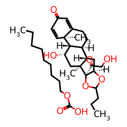 CCCC1O[C@@H]2C[C@H]3[C@@H]4CCC5=CC(=O)C=C[C@]5(C)[C@H]4[C@@H](O)C[C@]3(C)[C@]2(C(=O)CO)O1.CCCCCCCCCOC(=O)O